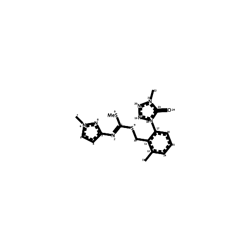 CS/C(=N\c1ccn(C)n1)SCc1c(C)cccc1-n1nnn(C)c1=O